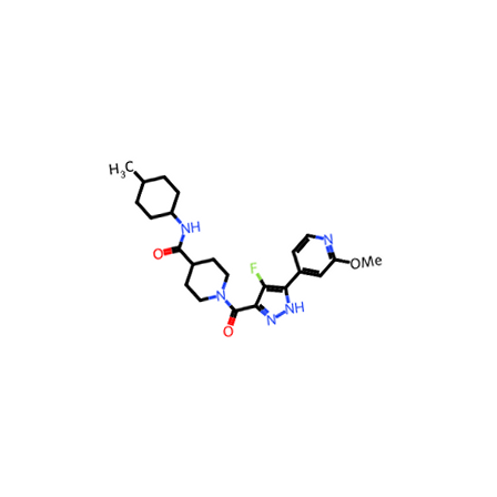 COc1cc(-c2[nH]nc(C(=O)N3CCC(C(=O)NC4CCC(C)CC4)CC3)c2F)ccn1